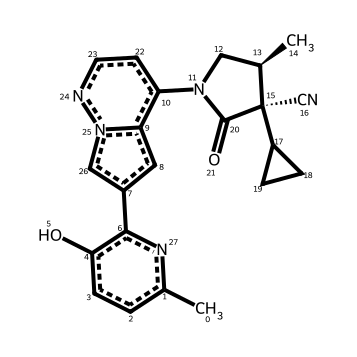 Cc1ccc(O)c(-c2cc3c(N4C[C@@H](C)[C@@](C#N)(C5CC5)C4=O)ccnn3c2)n1